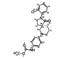 COC(=O)Nc1ccc(N2CCC[C@@]3(CCN(c4ccccc4Cl)C3=O)C2)nc1